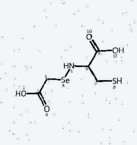 O=C(O)C[Se]NC(CS)C(=O)O